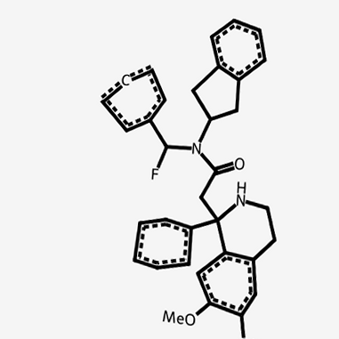 COc1cc2c(cc1OC)C(CC(=O)N(C1Cc3ccccc3C1)C(F)c1ccccc1)(c1ccccc1)NCC2